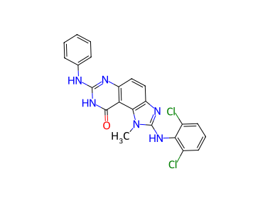 Cn1c(Nc2c(Cl)cccc2Cl)nc2ccc3nc(Nc4ccccc4)[nH]c(=O)c3c21